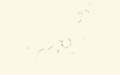 COC(=O)N/C=C/CCC(C)c1cc(O)c(C(=O)/C(C)=C/C=C(/C)CCCC(F)(F)F)c(=O)o1